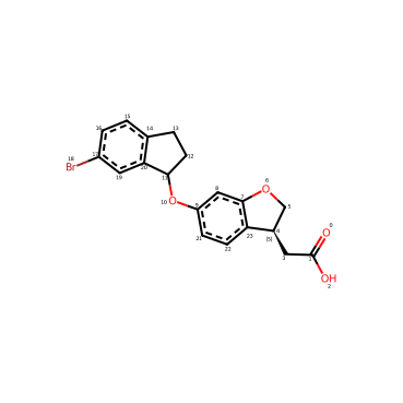 O=C(O)C[C@@H]1COc2cc(OC3CCc4ccc(Br)cc43)ccc21